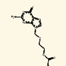 CC(C)CC(=O)OCCOCn1cnc2c(=O)nc(N)[nH]c21